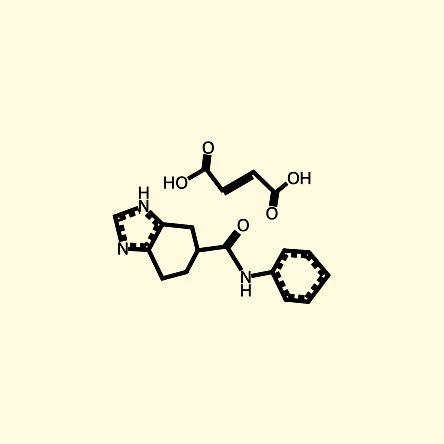 O=C(Nc1ccccc1)C1CCc2nc[nH]c2C1.O=C(O)C=CC(=O)O